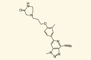 Cc1cc(-c2cc3c(nnn3C)c(C#N)n2)ccc1OCCCN1CCNC(=O)C1